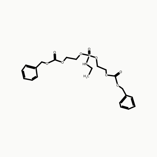 CCNP(=O)(OCCOC(=O)OCc1ccccc1)OCCOC(=O)OCc1ccccc1